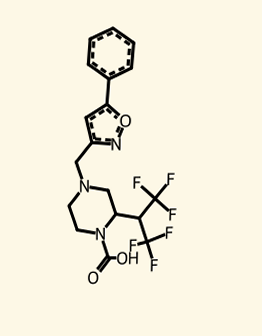 O=C(O)N1CCN(Cc2cc(-c3ccccc3)on2)CC1C(C(F)(F)F)C(F)(F)F